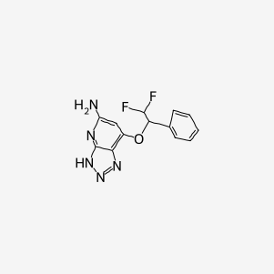 Nc1cc(OC(c2ccccc2)C(F)F)c2nn[nH]c2n1